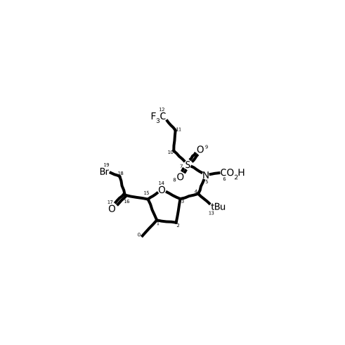 CC1CC(C(N(C(=O)O)S(=O)(=O)CCC(F)(F)F)C(C)(C)C)OC1C(=O)CBr